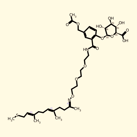 CSC/C=C(\C)CC/C=C(\C)CC/C(C)=N/OCCOCCOCCNC(=O)c1cc(COC(C)=O)ccc1O[C@@H]1O[C@H](C(=O)O)[C@@H](O)[C@H](O)[C@H]1O